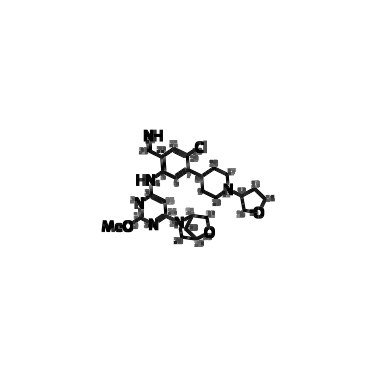 COc1nc(Nc2cc(C3CCN(C4CCOC4)CC3)c(Cl)cc2C=N)cc(N2CC3CC2CO3)n1